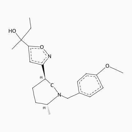 CCC(C)(O)c1cc([C@@H]2CC[C@@H](C)N(Cc3ccc(OC)cc3)C2)no1